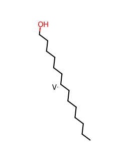 CCCCCCCCCCCCCCO.[V]